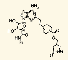 CCNC(=O)[C@H]1O[C@@H](n2cnc3c(N)nc(CCC4CCN(C(=O)OCC5CNC(=O)C5)CC4)nc32)C(O)C1O